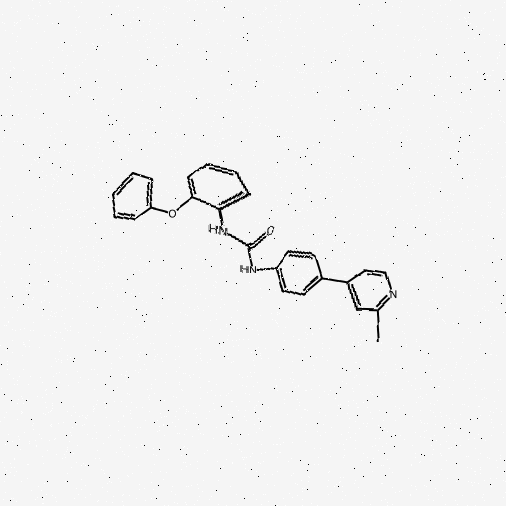 Cc1cc(-c2ccc(NC(=O)Nc3ccccc3Oc3ccccc3)cc2)ccn1